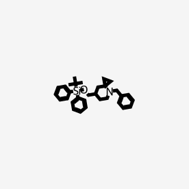 CC(C)(C)[Si](OCC1CCN(Cc2ccccc2)C2(CC2)C1)(c1ccccc1)c1ccccc1